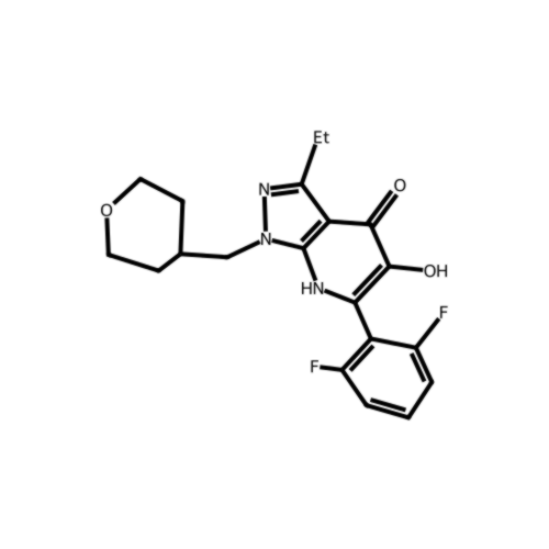 CCc1nn(CC2CCOCC2)c2[nH]c(-c3c(F)cccc3F)c(O)c(=O)c12